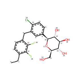 CCc1ccc(Cc2cc([C@@H]3O[C@H](CO)[C@@H](O)[C@H](O)[C@H]3O)ccc2Cl)c(F)c1F